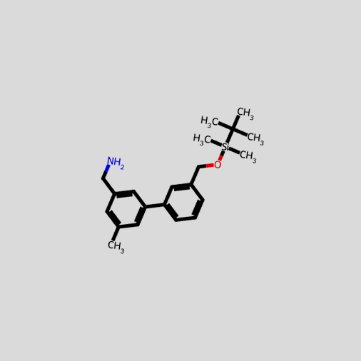 Cc1cc(CN)cc(-c2cccc(CO[Si](C)(C)C(C)(C)C)c2)c1